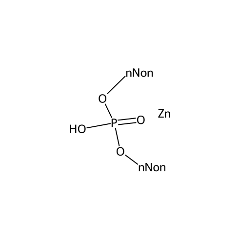 CCCCCCCCCOP(=O)(O)OCCCCCCCCC.[Zn]